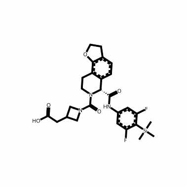 C[Si](C)(C)c1c(F)cc(NC(=O)[C@H]2c3ccc4c(c3CCN2C(=O)N2CC(CC(=O)O)C2)OCC4)cc1F